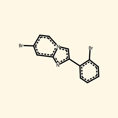 Brc1ccn2cc(-c3ccccc3Br)nc2c1